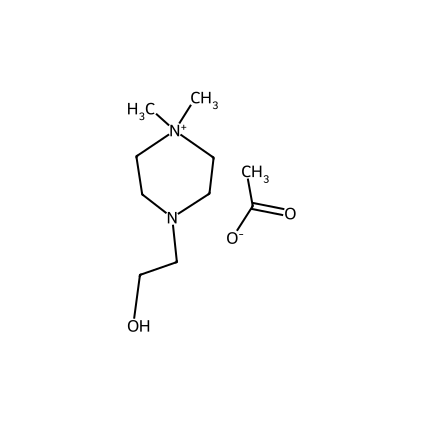 CC(=O)[O-].C[N+]1(C)CCN(CCO)CC1